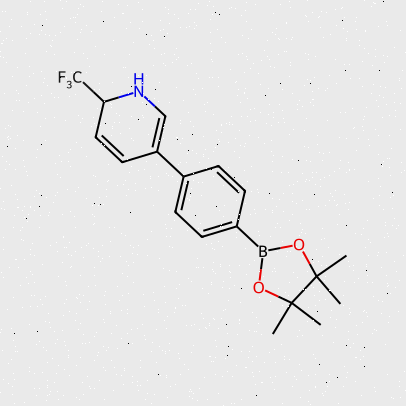 CC1(C)OB(c2ccc(C3=CNC(C(F)(F)F)C=C3)cc2)OC1(C)C